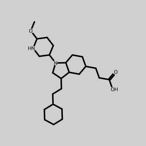 COC1CCC(N2CC(CCC3CCCCC3)C3CC(CCC(=O)O)CCC32)CN1